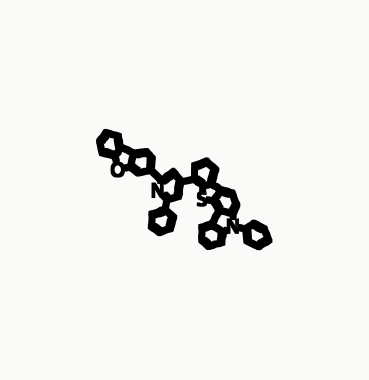 c1ccc(-c2cc(-c3cccc4c3sc3c4ccc4c3c3ccccc3n4-c3ccccc3)cc(-c3ccc4c(c3)oc3ccccc34)n2)cc1